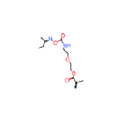 C=C(C)C(=O)OCCOCCNC(=O)ON=C(C)CC